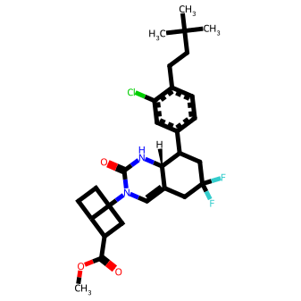 COC(=O)C1CC2(N3C=C4CC(F)(F)CC(c5ccc(CCC(C)(C)C)c(Cl)c5)[C@H]4NC3=O)CCC12